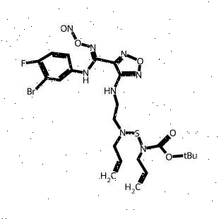 C=CCN(CCNc1nonc1/C(=N/ON=O)Nc1ccc(F)c(Br)c1)SN(CC=C)C(=O)OC(C)(C)C